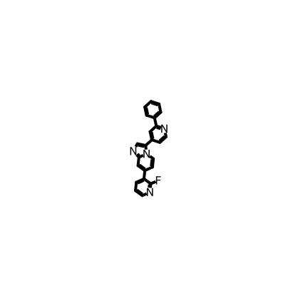 Fc1ncccc1-c1ccn2c(-c3ccnc(-c4ccccc4)c3)cnc2c1